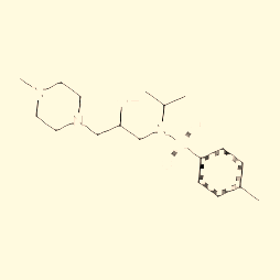 Cc1ccc(S(=O)(=O)N(CC(O)CN2CCN(C)CC2)C(C)C)cc1